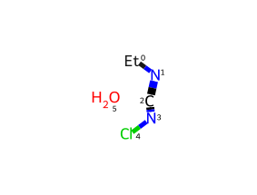 CCN=C=NCl.O